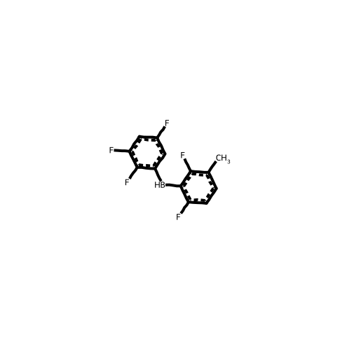 Cc1ccc(F)c(Bc2cc(F)cc(F)c2F)c1F